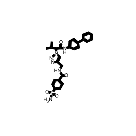 CC(C)C(C(=O)Nc1ccc(-c2ccccc2)cc1)n1cc(CNC(=O)c2ccc(S(N)(=O)=O)cc2)nn1